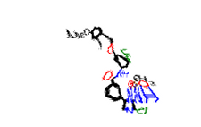 COc1ccc(COCc2ccc(NC(=O)c3cccc(-c4cnc(Cl)c(NS(C)(=O)=O)n4)c3)cc2F)cc1